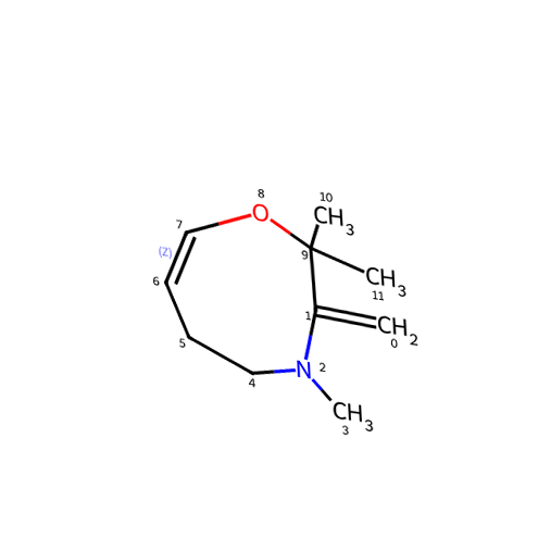 C=C1N(C)CC/C=C\OC1(C)C